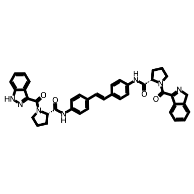 O=C(Nc1ccc(/C=C/c2ccc(NC(=O)[C@@H]3CCCN3C(=O)c3n[nH]c4ccccc34)cc2)cc1)[C@@H]1CCCN1C(=O)C1=NCc2ccccc21